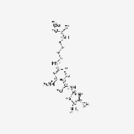 CC(=O)Nc1cc(NCCCCNC(=O)OC(C)(C)C)ccc1C(=O)Nc1nc(C)c(N)s1